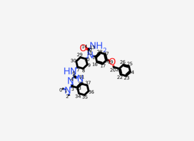 CN(C)c1nc(NC2CCC(N(C(N)=O)c3ccc(OCc4ccccc4)cc3)CC2)nc2c1CCCC2